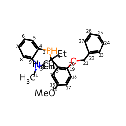 CCC(C)(Pc1ccccc1N(C)C)c1cc(OC)ccc1OCc1ccccc1